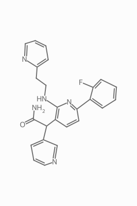 NC(=O)C(c1cccnc1)c1ccc(-c2ccccc2F)nc1NCCc1ccccn1